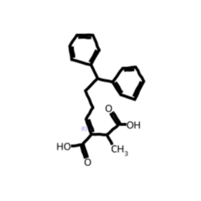 CC(C(=O)O)/C(=C\CCC(c1ccccc1)c1ccccc1)C(=O)O